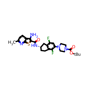 Cc1ccc2c(N)c(C(=O)N[C@H]3CCc4c(F)c(N5CCN(C(=O)OC(C)(C)C)CC5)cc(F)c4C3)sc2n1